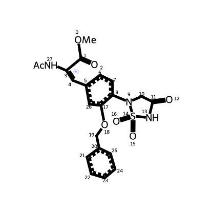 COC(=O)/C(=C\c1ccc(N2CC(=O)NS2(=O)=O)c(OCc2ccccc2)c1)NC(C)=O